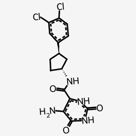 Nc1c(C(=O)N[C@@H]2CC[C@@H](c3ccc(Cl)c(Cl)c3)C2)[nH]c(=O)[nH]c1=O